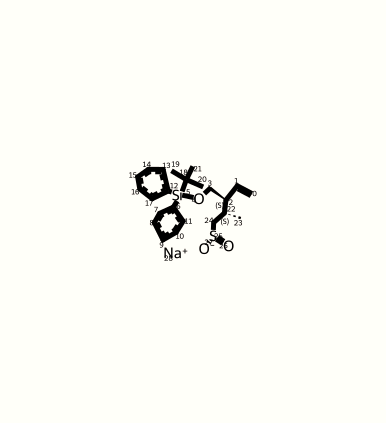 C=C[C@H](CO[Si](c1ccccc1)(c1ccccc1)C(C)(C)C)[C@H](C)CS(=O)[O-].[Na+]